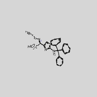 CCCO/N=C(\C(=O)O)c1csc(NC(c2ccccc2)(c2ccccc2)c2ccccc2)n1